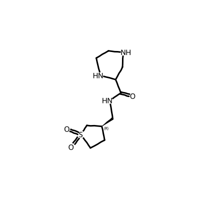 O=C(NC[C@H]1CCS(=O)(=O)C1)C1CNCCN1